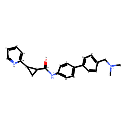 CN(C)Cc1ccc(-c2ccc(NC(=O)C3CC3c3ccccn3)cc2)cc1